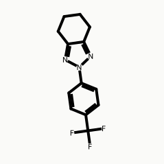 FC(F)(F)c1ccc(-n2nc3c(n2)CCCC3)cc1